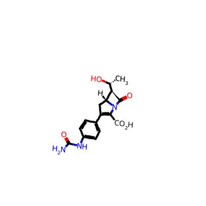 C[C@@H](O)[C@H]1C(=O)N2C(C(=O)O)=C(c3ccc(NC(N)=O)cc3)C[C@H]12